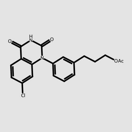 CC(=O)OCCCc1cccc(-n2c(=O)[nH]c(=O)c3ccc(Cl)cc32)c1